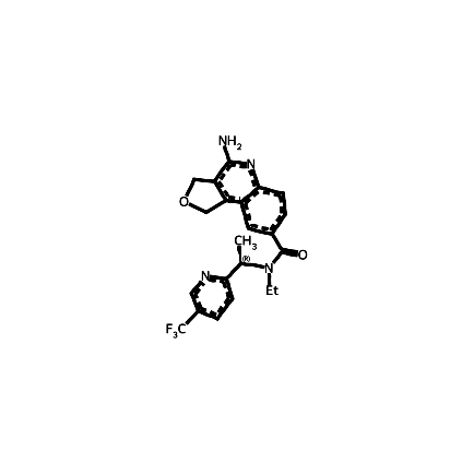 CCN(C(=O)c1ccc2nc(N)c3c(c2c1)COC3)[C@H](C)c1ccc(C(F)(F)F)cn1